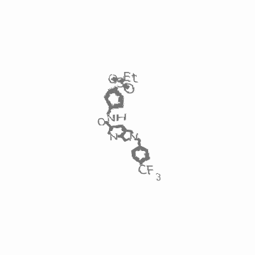 CCS(=O)(=O)c1ccc(CNC(=O)c2cnc3c(c2)CN(Cc2ccc(C(F)(F)F)cc2)C3)cc1